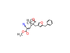 COC(=O)/C(C#N)=C/C1C(C)(C)C1([C]=O)Cc1coc(Cc2ccccc2)c1